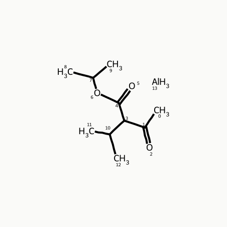 CC(=O)C(C(=O)OC(C)C)C(C)C.[AlH3]